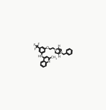 Cc1cc(Nc2cc(OCCN3C[C@@H]4C[C@H]3CN4Cc3ccccc3)cc(C(F)(F)F)c2)c2ccccc2n1